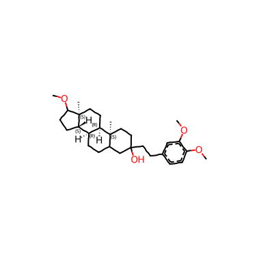 COc1ccc(CCC2(O)CC[C@@]3(C)C(CC[C@@H]4[C@H]3CC[C@]3(C)C(OC)CC[C@@H]43)C2)cc1OC